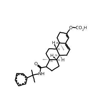 CC(C)(NC(=O)C1CC[C@H]2[C@@H]3CC=C4C=C(OC(=O)O)CC[C@]4(C)[C@H]3CC[C@]12C)c1ccccc1